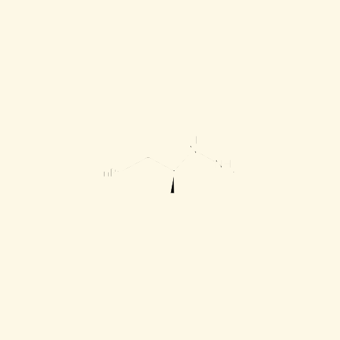 CCCC[C@H](I)NN